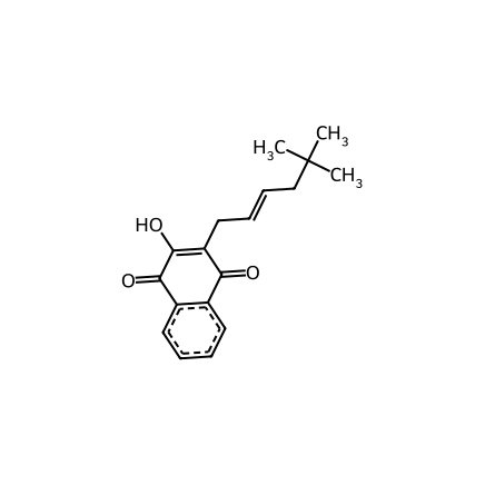 CC(C)(C)CC=CCC1=C(O)C(=O)c2ccccc2C1=O